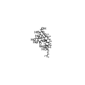 CC(C)=CCC[C@H](O)C1CCC2[C@@H]1[C@H](O)CC1[C@@]2(C)CCC2C(C)(C)[C@@H](OC3OC(CO)C(O)C(O)C3OC3OC(CO)C(O)C(O)C3O)CC[C@@]21C